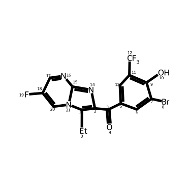 CCc1c(C(=O)c2cc(Br)c(O)c(C(F)(F)F)c2)nc2ncc(F)cn12